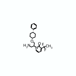 CC(F)(F)c1cccn(C(CN)CO[C@H]2CC[C@@H](c3ccccc3)CC2)c1=O